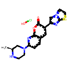 C[C@H]1CN(c2ccc3cc(-c4cn5ccsc5n4)c(=O)oc3n2)CCN1.OCl